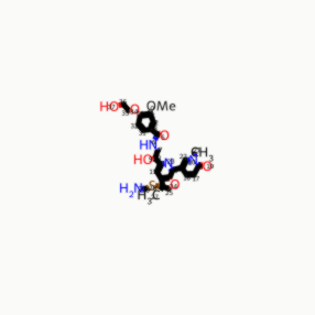 COc1cc(C(=O)NCC(O)c2cc3c(c(-c4ccc(=O)n(C)c4)n2)OCC3(C)SCN)ccc1OCCO